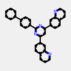 c1ccc(-c2ccc(-c3nc(-c4ccc5cccnc5c4)cc(-c4ccc5cccnc5c4)n3)cc2)cc1